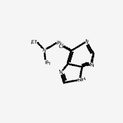 CCN(C(C)C)C(C)C.Clc1ncnc2[nH]cnc12